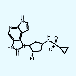 CC[C@@H]1C[C@H](NS(=O)(=O)C2CC2)C[C@@H]1N1NNc2cnc3[nH]ccc3c21